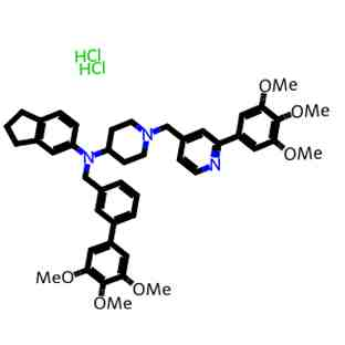 COc1cc(-c2cccc(CN(c3ccc4c(c3)CCC4)C3CCN(Cc4ccnc(-c5cc(OC)c(OC)c(OC)c5)c4)CC3)c2)cc(OC)c1OC.Cl.Cl